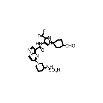 O=CC1CCC(n2cc(NC(=O)c3cnn4ccc(N5CCC[C@H](NC(=O)O)C5)nc34)c(C(F)F)n2)CC1